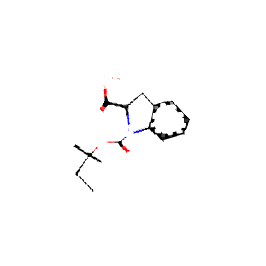 CCC(C)(C)OC(=O)N1c2ccccc2CC1C(=O)O